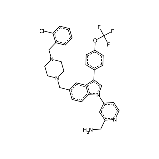 NCc1cc(-n2cc(-c3ccc(OC(F)(F)F)cc3)c3cc(CN4CCN(Cc5ccccc5Cl)CC4)ccc32)ccn1